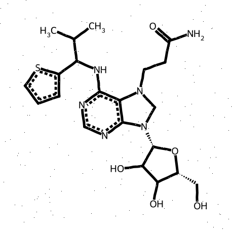 CC(C)C(Nc1ncnc2c1N(CCC(N)=O)CN2[C@@H]1O[C@H](CO)C(O)C1O)c1cccs1